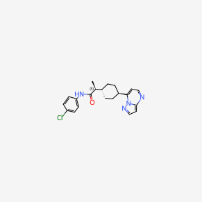 C[C@H](C(=O)Nc1ccc(Cl)cc1)[C@H]1CC[C@H](c2ccnc3ccnn32)CC1